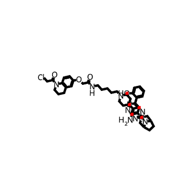 Nc1nnc(-c2ccccc2O)cc1N1CC2CCC(C1)N2c1ncc(C2CCN(CCCCCNC(=O)COc3ccc4c(c3)CCCN4C(=O)CCl)CC2)cn1